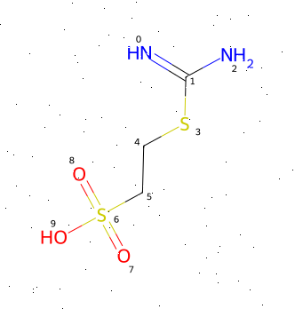 N=C(N)SCCS(=O)(=O)O